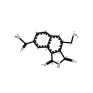 CCc1cc2ccc(C(=O)O)cc2c2c1C(=O)NC2=O